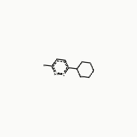 Cc1ccc(C2CCCCC2)nn1